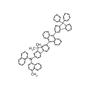 Cc1ccc(N(c2ccc3c(c2)C(C)(C)c2cc(-c4c5ccccc5c(-c5ccc6c(c5)-c5ccccc5C6(c5ccccc5)c5ccccc5)c5ccccc45)ccc2-3)c2cccc3ccccc23)c2ccccc12